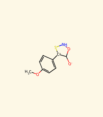 COc1ccc([C+]2SNOC2[O-])cc1